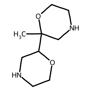 CC1(C2CNCCO2)CNCCO1